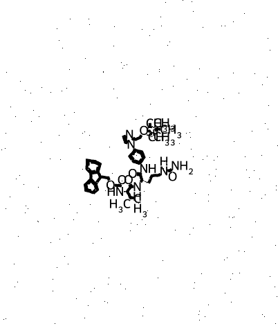 CC(C)[C@H](NC(=O)OCC1c2ccccc2-c2ccccc21)C(=O)N[C@@H](CCCNC(N)=O)C(=O)Nc1ccc(-n2ccnc2CO[Si](C)(C)C(C)(C)C)cc1